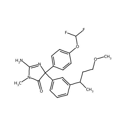 COCCC(C)c1cccc(C2(c3ccc(OC(F)F)cc3)N=C(N)N(C)C2=O)c1